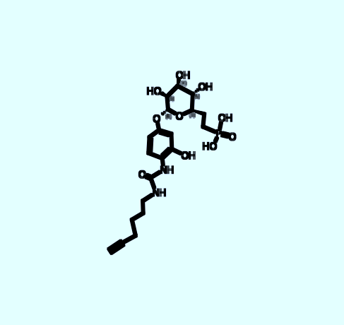 C#CCCCCNC(=O)Nc1ccc(O[C@H]2O[C@H](CCP(=O)(O)O)[C@@H](O)[C@H](O)[C@@H]2O)cc1O